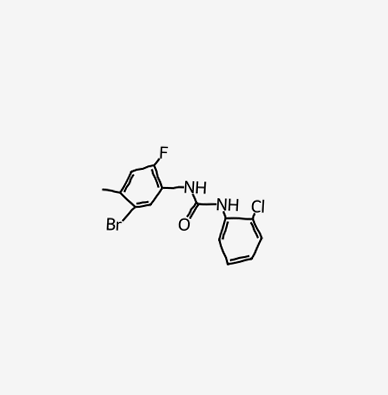 Cc1cc(F)c(NC(=O)Nc2ccccc2Cl)cc1Br